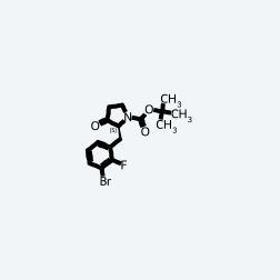 CC(C)(C)OC(=O)N1CCC(=O)[C@@H]1Cc1cccc(Br)c1F